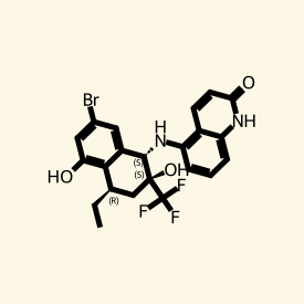 CC[C@@H]1C[C@@](O)(C(F)(F)F)[C@@H](Nc2cccc3[nH]c(=O)ccc23)c2cc(Br)cc(O)c21